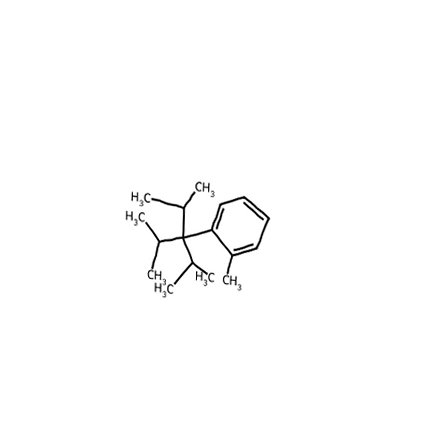 Cc1ccccc1C(C(C)C)(C(C)C)C(C)C